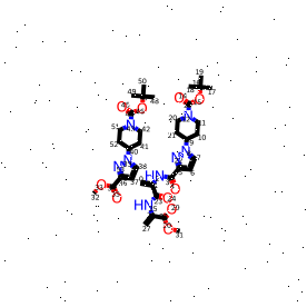 C=C(NC(=O)c1ccn(C2CCN(C(=O)OC(C)(C)C)CC2)n1)C(=O)NC(=C)C(=O)OC.COC(=O)c1ccn(C2CCN(C(=O)OC(C)(C)C)CC2)n1